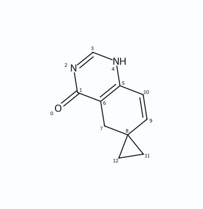 O=c1nc[nH]c2c1CC1(C=C2)CC1